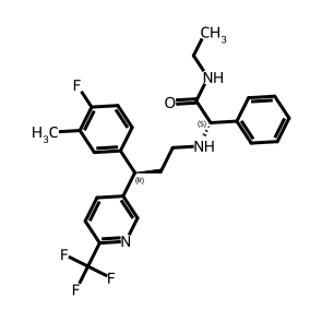 CCNC(=O)[C@@H](NCC[C@@H](c1ccc(C(F)(F)F)nc1)c1ccc(F)c(C)c1)c1ccccc1